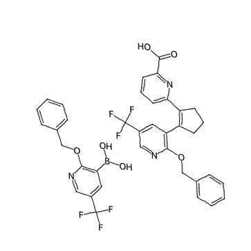 O=C(O)c1cccc(C2=C(c3cc(C(F)(F)F)cnc3OCc3ccccc3)CCC2)n1.OB(O)c1cc(C(F)(F)F)cnc1OCc1ccccc1